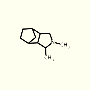 CC1C2C3CCC(C3)C2CN1C